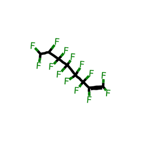 FC(F)=C(F)C(F)(F)C(F)(F)C(F)(F)C(F)(F)C(F)C(F)F